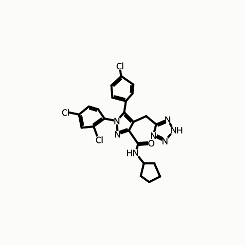 O=C(NC1CCCC1)c1nn(-c2ccc(Cl)cc2Cl)c(-c2ccc(Cl)cc2)c1Cc1nn[nH]n1